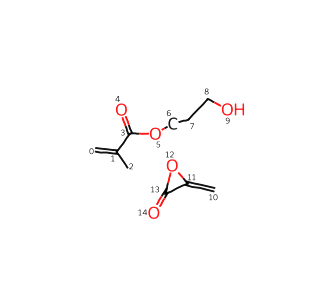 C=C(C)C(=O)OCCCO.C=C1OC1=O